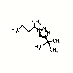 CCCC(C)n1cc(C(C)(C)C)nn1